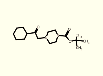 CC(C)(C)OC(=O)N1CCN(CC(=O)C2CCCCC2)CC1